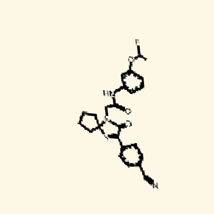 N#Cc1ccc(C2=NC3(CCCC3)N(CC(=O)Nc3cccc(OC(F)F)c3)C2=O)cc1